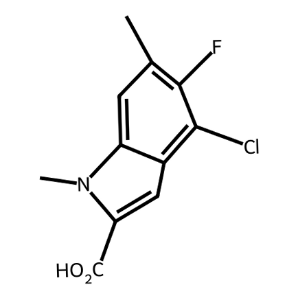 Cc1cc2c(cc(C(=O)O)n2C)c(Cl)c1F